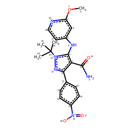 COc1cc(Nc2c(C(N)=O)c(-c3ccc([N+](=O)[O-])cc3)nn2C(C)(C)C)ccn1